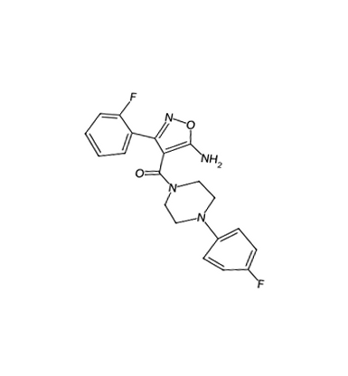 Nc1onc(-c2ccccc2F)c1C(=O)N1CCN(c2ccc(F)cc2)CC1